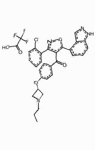 CCCN1CC(Oc2ccc(C(=O)c3c(-c4ccccc4Cl)noc3-c3cccc4[nH]ncc34)cc2)C1.O=C(O)C(F)(F)F